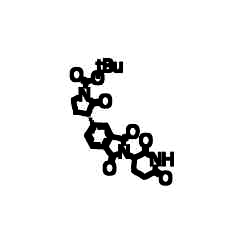 CC(C)(C)OC(=O)N1CC[C@@H](c2ccc3c(c2)C(=O)N(C2CCC(=O)NC2=O)C3=O)C1=O